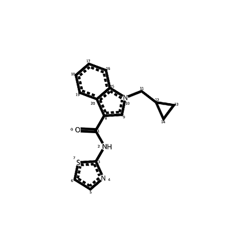 O=C(Nc1nccs1)c1cn(CC2CC2)c2ccccc12